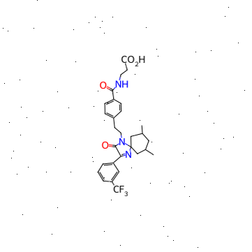 CC1CC(C)CC2(C1)N=C(c1cccc(C(F)(F)F)c1)C(=O)N2CCc1ccc(C(=O)NCCC(=O)O)cc1